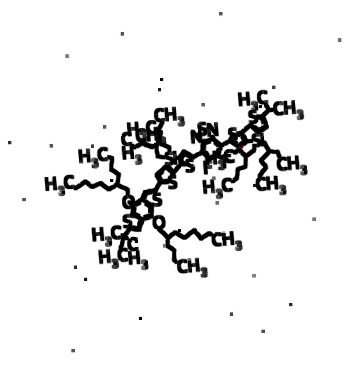 CCCCCCC(CCCC)COc1c2cc(C(C)(C)CC)sc2c(OCC(CCCC)CCCCCC)c2cc(-c3cc4c(s3)-c3sc(-c5c(F)c(F)c(-c6cc7c(s6)-c6sc(C(C)C)cc6[Si]7(CC(CC)CCCC)CC(CC)CCCC)c6nsnc56)cc3[Si]4(CC(CC)CCCC)CC(CC)CCCC)sc12